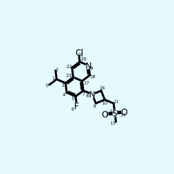 CC(C)c1cc(F)c(N2CC(CS(C)(=O)=O)C2)c2cnc(Cl)cc12